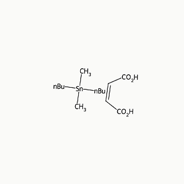 CCC[CH2][Sn]([CH3])([CH3])[CH2]CCC.O=C(O)/C=C\C(=O)O